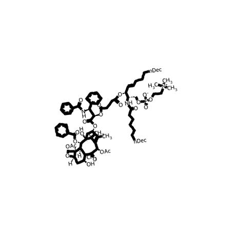 CCCCCCCCCCCCC/C=C/[C@@H](OC(=O)CCC(=O)O[C@@H](C(=O)O[C@H]1C[C@@]2(O)[C@@H](OC(=O)c3ccccc3)[C@@H]3[C@]4(OC(C)=O)CO[C@@H]4C[C@H](O)[C@@]3(C)C(=O)[C@H](OC(C)=O)C(=C1C)C2(C)C)[C@@H](NC(=O)c1ccccc1)c1ccccc1)[C@H](COP(=O)([O-])OCC[N+](C)(C)C)NC(=O)CCCCCCCCCCCCCCC